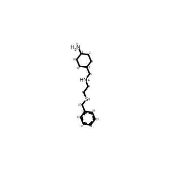 NC1CCC(CNCCSCc2ccccc2)CC1